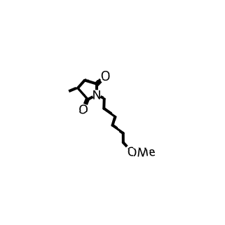 COCCCCCCN1C(=O)CC(C)C1=O